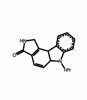 CCCN1c2ccccc2C2C3=C(C=CC21)C(=O)NC3